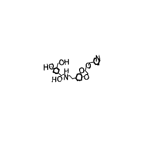 OCc1cc(C(O)CNCCc2ccc3c(c2)OC(COCc2cccnc2)CO3)ccc1O